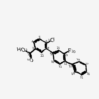 O=C(O)c1ccc(Cl)c(-c2ccc(-c3ccccc3)c(F)c2)c1